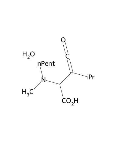 CCCCCN(C)C(C(=O)O)C(=C=O)C(C)C.O